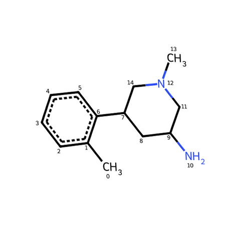 Cc1ccccc1C1CC(N)CN(C)C1